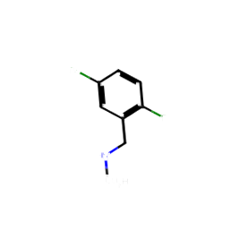 O=C(O)NCc1cc(Br)ccc1F